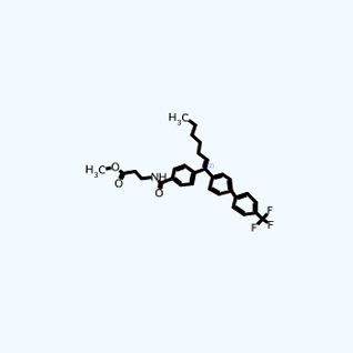 CCCCC/C=C(\c1ccc(C(=O)NCCC(=O)OC)cc1)c1ccc(-c2ccc(C(F)(F)F)cc2)cc1